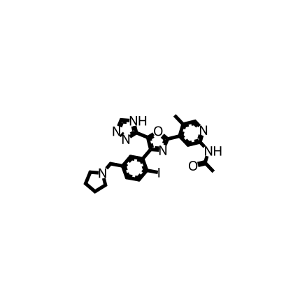 CC(=O)Nc1cc(-c2nc(-c3cc(CN4CCCC4)ccc3I)c(-c3nnc[nH]3)o2)c(C)cn1